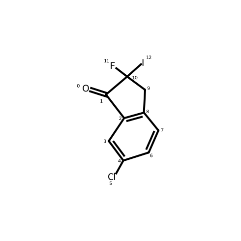 O=C1c2cc(Cl)ccc2CC1(F)I